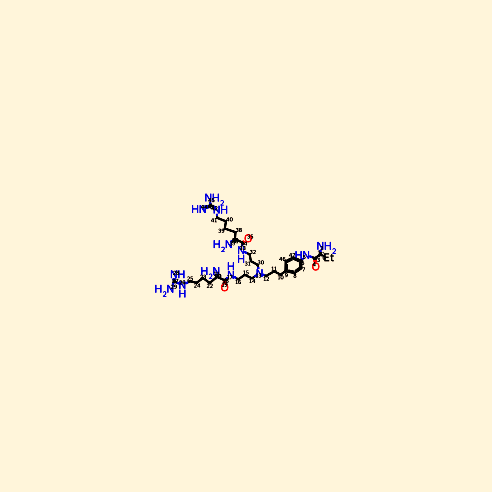 CC[C@H](N)C(=O)Nc1ccc(CCCN(CCCNC(=O)[C@@H](N)CCCCNC(=N)N)CCCNC(=O)[C@@H](N)CCCCNC(=N)N)cc1